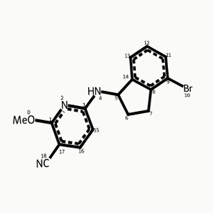 COc1nc(NC2CCc3c(Br)cccc32)ccc1C#N